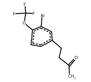 CC(=O)CCc1ccc(OC(F)(F)F)c(Br)c1